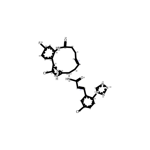 O=C(/C=C/c1cc(Cl)ccc1-n1cnnn1)N[C@H]1C/C=C/CCC(=O)Nc2cc(F)ccc2-c2nc1[nH]c2Cl